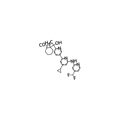 CC(O)(c1ccc(-c2cc(C3CC3)cc(Nc3cc(C(F)F)ccn3)n2)cn1)C1(C(=O)O)CCCCC1